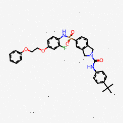 CC(C)(C)c1ccc(NC(=O)N2Cc3ccc(S(=O)(=O)Nc4ccc(OCCOc5ccccc5)cc4F)cc3C2)cc1